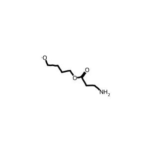 NCCC(=O)OCCCC[O]